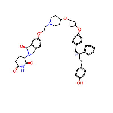 O=C1CCC(N2Cc3ccc(OCCN4CCC(OC5CC(Oc6ccc(/C=C(/CCc7ccc(O)cc7)c7ccccc7)cc6)C5)CC4)cc3C2=O)C(=O)N1